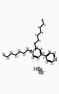 Br.CCCCCCCc1cc(-c2ccncc2)cc[n+]1CCCCCCC.[Br-]